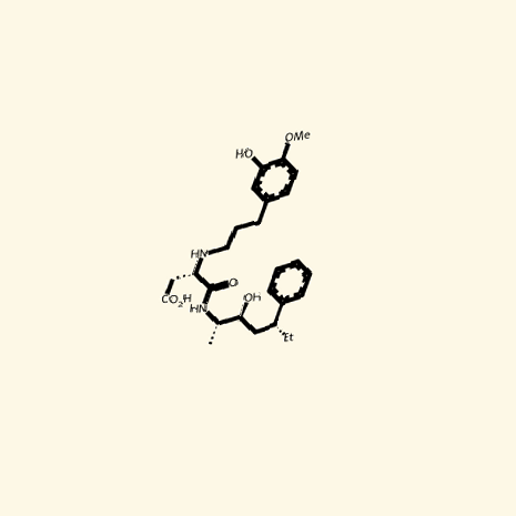 CC[C@H](C[C@H](O)[C@H](C)NC(=O)[C@H](CC(=O)O)NCCCc1ccc(OC)c(O)c1)c1ccccc1